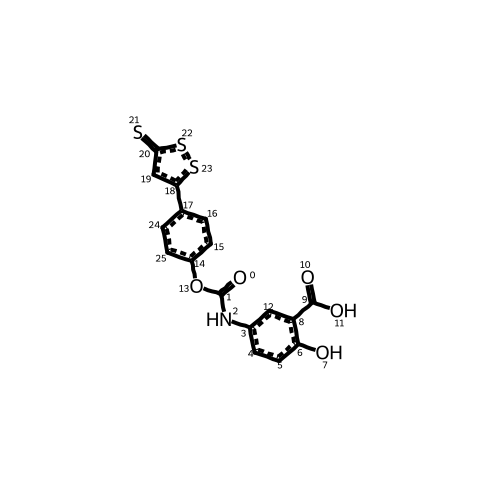 O=C(Nc1ccc(O)c(C(=O)O)c1)Oc1ccc(-c2cc(=S)ss2)cc1